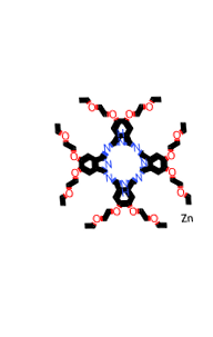 CCOCCOc1cc2c(cc1OCCOCC)-c1nc-2nc2[nH]c(nc3nc(nc4[nH]c(n1)c1cc(OCCOCC)c(OCCOCC)cc41)-c1cc(OCCOCC)c(OCCOCC)cc1-3)c1cc(OCCOCC)c(OCCOCC)cc21.[Zn]